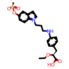 CCO[C@@H](Cc1ccc(NCCCn2ccc3cc(OS(C)(=O)=O)ccc32)cc1)C(=O)O